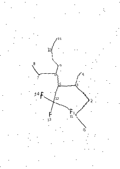 CCCC(C)C(C(CC)CCC)C(F)(F)F